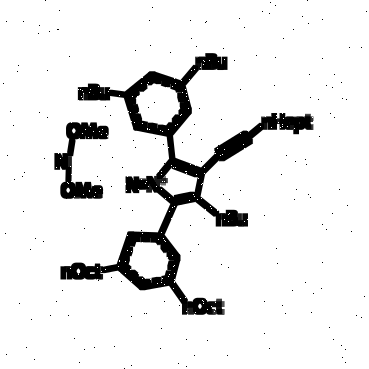 CCCCCCCC#CC1=C(c2cc(CCCC)cc(CCCC)c2)[N+](=[N-])C(c2cc(CCCCCCCC)cc(CCCCCCCC)c2)=C1CCCC.C[O][Ni][O]C